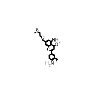 CN(C)CCOCc1cc(N)c2c(=O)cc(-c3ccc(N)c(F)c3)oc2c1